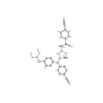 CCC(CC)Oc1ccc(C(c2ccc(C#N)cc2)C2CC(NC(=O)c3ccc(C#N)nc3)CN2)cn1